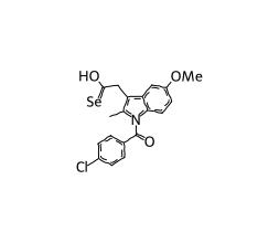 COc1ccc2c(c1)c(CC(O)=[Se])c(C)n2C(=O)c1ccc(Cl)cc1